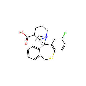 CC[N+]12CCCC(C(=O)O)C1[C@]21c2ccccc2CSc2ccc(Cl)cc21